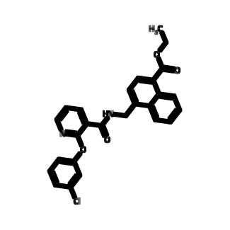 CCOC(=O)c1ccc(CNC(=O)c2cccnc2Oc2cccc(Cl)c2)c2ccccc12